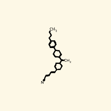 C=C(C1CCC(C=CC=CC#N)CC1)C1CCC(c2ccc(CCCC)cc2)CC1